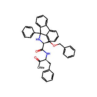 COC(=O)[C@H](Cc1ccccc1)NC(=O)[C@H](COCc1ccccc1)NC1(c2ccccc2)c2ccccc2-c2ccccc21